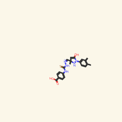 Cc1ccc(N2NC(C)(/C=N\NC(=S)Nc3ccc(C(=O)O)cc3)C=C2O)cc1C